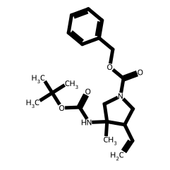 C=CC1CN(C(=O)OCc2ccccc2)CC1(C)NC(=O)OC(C)(C)C